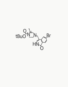 C[C@H]1CN(Cc2c[nH]c(=O)c3ccc(Br)cc23)CCN1C(=O)OC(C)(C)C